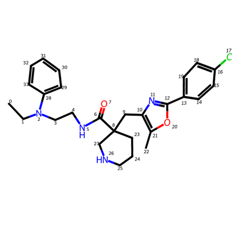 CCN(CCNC(=O)C1(Cc2nc(-c3ccc(Cl)cc3)oc2C)CCCNC1)c1ccccc1